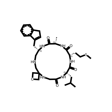 CSCC[C@@H]1NC(=O)[C@H](CC(C)C)NC(=O)CNC2(CNC[C@H](CC3=CCc4ccccc43)NC(=O)[C@H](C)NC1=O)COC2